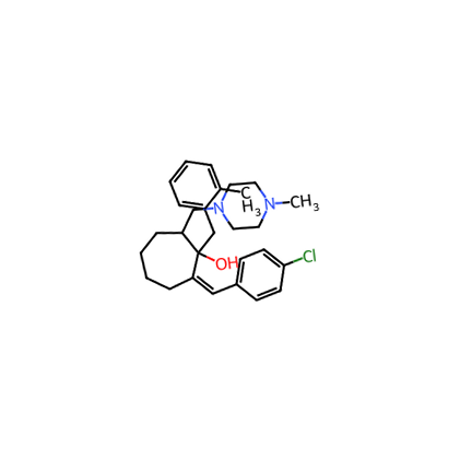 Cc1ccccc1CC1(O)/C(=C\c2ccc(Cl)cc2)CCCCC1CN1CCN(C)CC1